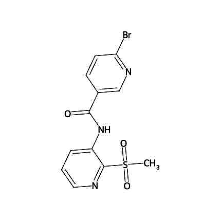 CS(=O)(=O)c1ncccc1NC(=O)c1ccc(Br)nc1